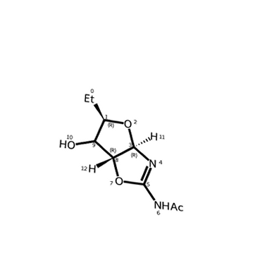 CC[C@H]1O[C@H]2N=C(NC(C)=O)O[C@@H]2C1O